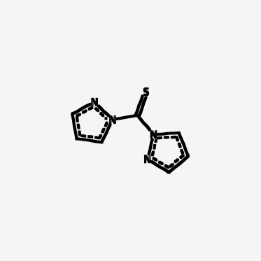 S=C(n1cccn1)n1cccn1